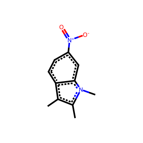 Cc1c(C)n(C)c2cc([N+](=O)[O-])ccc12